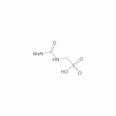 CNC(=O)NCS(=O)(=O)O